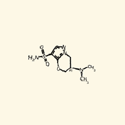 CN(C)[C@H]1COc2c(S(N)(=O)=O)cnn2C1